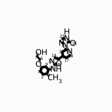 Cc1ccc(OCCO)cc1Nc1ncc(-c2ccnc(-n3nc[nH]c3=O)c2)o1